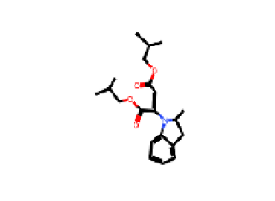 CC(C)COC(=O)C=C(C(=O)OCC(C)C)N1c2ccccc2CC1C